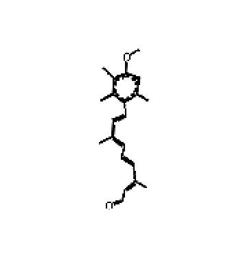 COc1cc(C)c(C=CC(C)=CC=CC(C)=CC=O)c(C)c1C